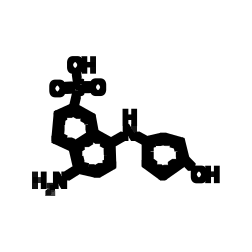 Nc1ccc(Nc2ccc(O)cc2)c2cc(S(=O)(=O)O)ccc12